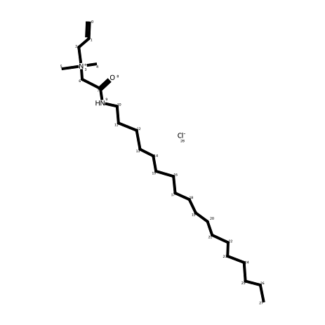 C=CC[N+](C)(C)CC(=O)NCCCCCCCCCCCCCCCCCC.[Cl-]